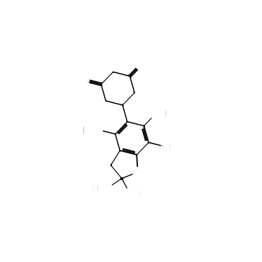 Cc1c(C)c(C2CC(=O)CC(=O)C2)c(C)c2c1OC(C)(C)C2